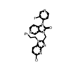 CC(C)CCn1c(Cn2c(=O)n(-c3ccncc3F)c3ccncc32)nc2nc(Cl)ccc21